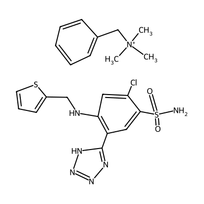 C[N+](C)(C)Cc1ccccc1.NS(=O)(=O)c1cc(-c2nnn[nH]2)c(NCc2cccs2)cc1Cl